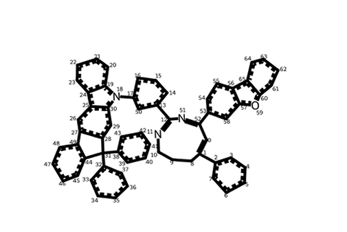 C1=C(\c2ccccc2)CCC\N=C(c2cccc(-n3c4ccccc4c4cc5c(cc43)C(c3ccccc3)(c3ccccc3)c3ccccc3-5)c2)/N=C\1c1ccc2c(c1)oc1ccccc12